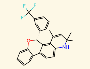 CC1=CC(C)(C)Nc2ccc3c(c21)[C@@H](c1cccc(C(F)(F)F)c1)Oc1ccccc1-3